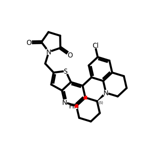 O=C1CCC(=O)N1Cc1cc2nccc(-c3cc(Cl)cc4c3N([C@H]3CCCNC3)CCC4)c2s1